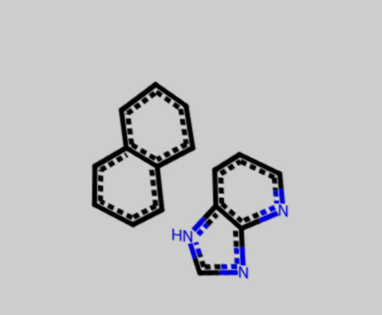 c1ccc2ccccc2c1.c1cnc2nc[nH]c2c1